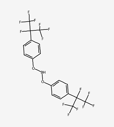 FC(F)(F)C(F)(c1ccc(OBOc2ccc(C(F)(C(F)(F)F)C(F)(F)F)cc2)cc1)C(F)(F)F